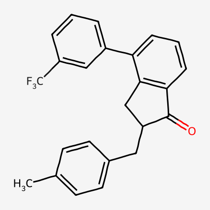 Cc1ccc(CC2Cc3c(cccc3-c3cccc(C(F)(F)F)c3)C2=O)cc1